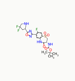 CC(C)(C)OC(=O)N[C@H]1CS(=O)(=O)c2cc(F)c(-c3noc(C4CNCC(F)(F)C4)n3)cc2NC1=O